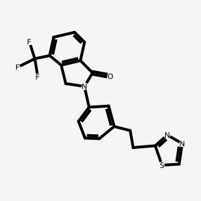 O=C1c2cccc(C(F)(F)F)c2CN1c1cccc(CCc2nncs2)c1